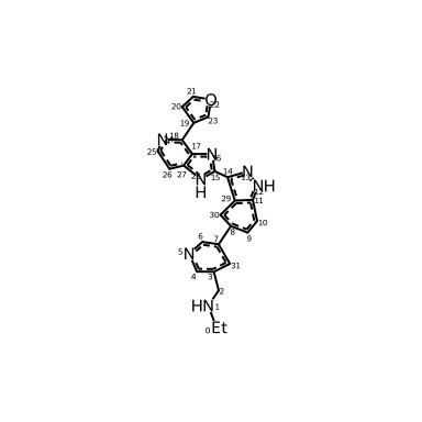 CCNCc1cncc(-c2ccc3[nH]nc(-c4nc5c(-c6ccoc6)nccc5[nH]4)c3c2)c1